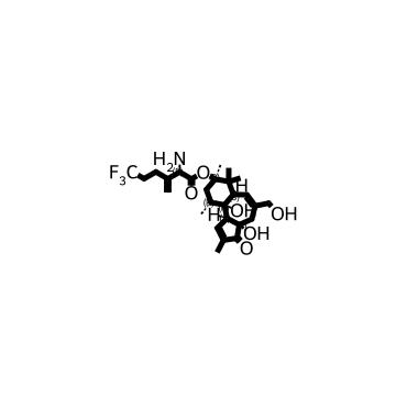 C=C(CCC(F)(F)F)[C@H](N)C(=O)O[C@]1(C)C[C@@H](C)[C@@]2(O)[C@@H](C=C(CO)C[C@]3(O)C(=O)C(C)=C[C@@H]23)C1(C)C